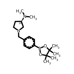 CN(C)[C@@H]1CCN(Cc2ccc(B3OC(C)(C)C(C)(C)O3)cc2)C1